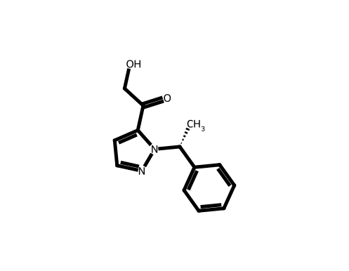 C[C@H](c1ccccc1)n1nccc1C(=O)CO